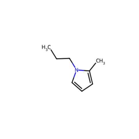 CCCn1cccc1C